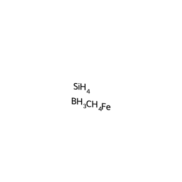 B.C.[Fe].[SiH4]